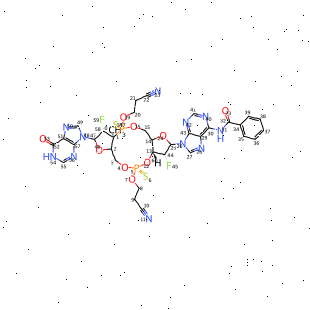 C[C@@]12C(COP(=S)(OCCC#N)O[C@@H]3C(COP1(=S)OCCC#N)OC(n1cnc4c(NC(=O)c5ccccc5)ncnc41)[C@@H]3F)OC(n1cnc3c(=O)[nH]cnc31)[C@@H]2F